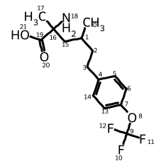 CC(CCc1ccc(OC(F)(F)F)cc1)CC(C)(N)C(=O)O